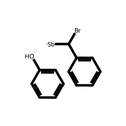 Br[CH]([Sb])c1ccccc1.Oc1ccccc1